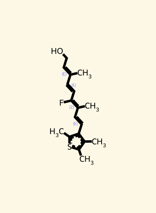 CC(/C=C/c1c(C)sc(C)c1C)=C(F)\C=C\C(C)=C\CO